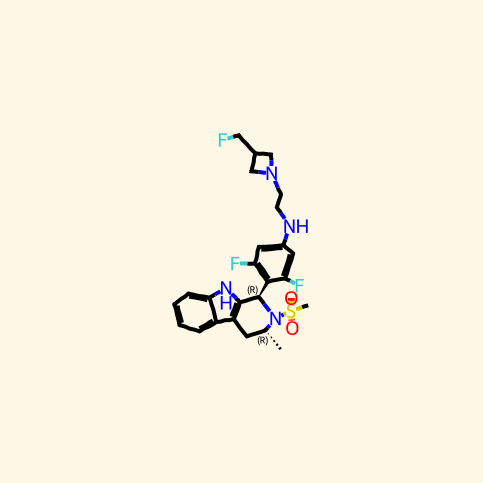 C[C@@H]1Cc2c([nH]c3ccccc23)[C@@H](c2c(F)cc(NCCN3CC(CF)C3)cc2F)N1S(C)(=O)=O